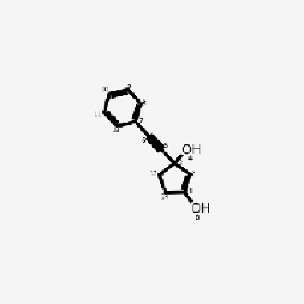 OC1=CC(O)(C#Cc2ccccc2)CC1